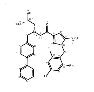 O=C(NN(Cc1ccc(-c2ccccc2)cc1)C[C@@H](O)C(=O)O)c1cc(C(=O)O)n(Cc2c(F)cc(Cl)cc2F)n1